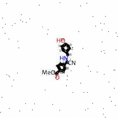 COC(=O)c1ccc(C(C#N)NCc2ccc(O)cc2)cc1